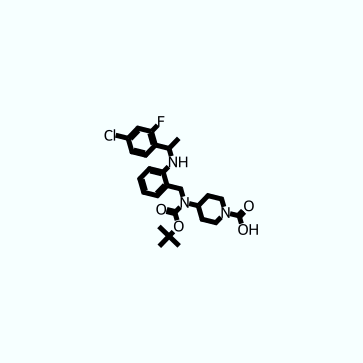 CC(Nc1ccccc1CN(C(=O)OC(C)(C)C)C1CCN(C(=O)O)CC1)c1ccc(Cl)cc1F